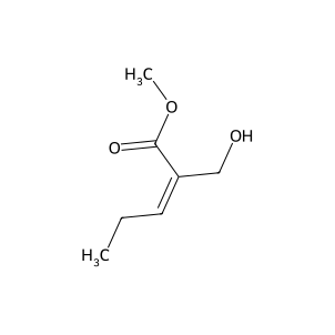 CCC=C(CO)C(=O)OC